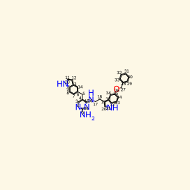 Nc1ncc(Cc2ccc3[nH]ccc3c2)c(NCCc2c[nH]c3ccc(OCc4ccccc4)cc23)n1